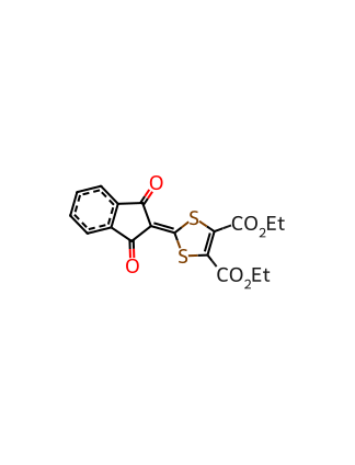 CCOC(=O)C1=C(C(=O)OCC)SC(=C2C(=O)c3ccccc3C2=O)S1